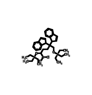 CC[Si](CC)(CC)OCC(CC[CH](O[Si](CC)(CC)CC)[Zr]([Cl])[Cl])(C1C=Cc2ccccc21)C1C=Cc2ccccc21